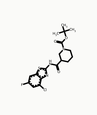 CC(C)(C)OC(=O)N1CCCC(C(=O)Nc2nc3c(Cl)cc(F)cc3s2)C1